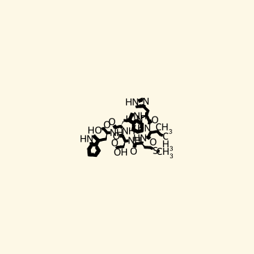 CC[C@H](C)[C@H](NC(=O)[C@@H](N)Cc1c[nH]cn1)C(=O)N[C@@H](CCSC)C(=O)N[C@@H](CC(=O)O)C(=O)N[C@@H](Cc1c[nH]c2ccccc12)C(=O)N[C@@H](Cc1c[nH]c2ccccc12)C(=O)O